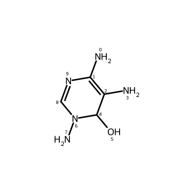 NC1=C(N)C(O)N(N)C=N1